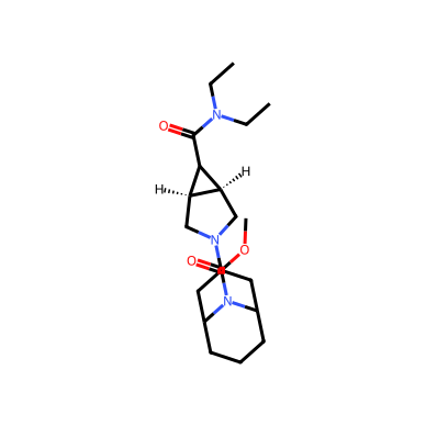 CCN(CC)C(=O)C1[C@H]2CN(C3CC4CCCC(C3)N4C(=O)OC)C[C@@H]12